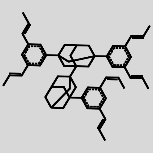 CC=Cc1cc(C=CC)cc(C23CC4CC(C2)CC(C25CC6CC(c7cc(C=CC)cc(C=CC)c7)(CC(c7cc(C=CC)cc(C=CC)c7)(C6)C2)C5)(C4)C3)c1